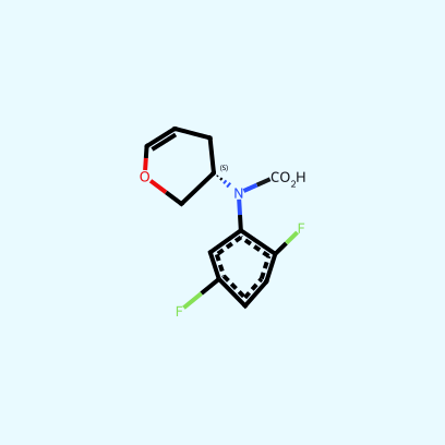 O=C(O)N(c1cc(F)ccc1F)[C@H]1CC=COC1